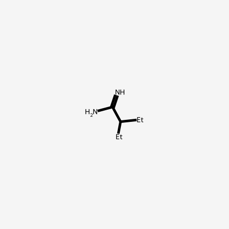 CCC(CC)C(=N)N